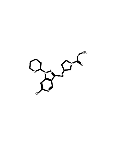 CC(C)(C)OC(=O)N1CCC(Nc2nn(C3CCCCO3)c3cc(Cl)ncc23)C1